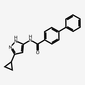 O=C(Nc1cc(C2CC2)n[nH]1)c1ccc(-c2ccccc2)cc1